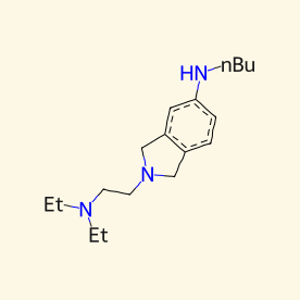 CCCCNc1ccc2c(c1)CN(CCN(CC)CC)C2